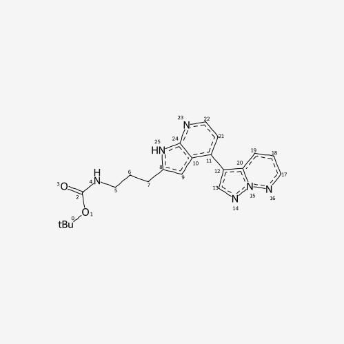 CC(C)(C)OC(=O)NCCCc1cc2c(-c3cnn4ncccc34)ccnc2[nH]1